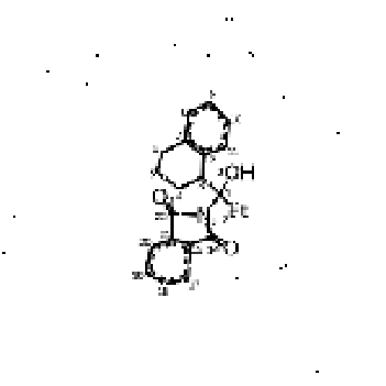 CCC(O)(C1CCCc2ccccc21)N1C(=O)c2ccccc2C1=O